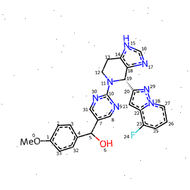 COc1ccc(C(O)c2cnc(N3CCc4[nH]cnc4[C@@H]3c3cc4c(F)cccn4n3)nc2)cc1